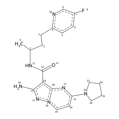 CC(CCc1ccc(F)cn1)NC(=O)c1c(N)nn2ccc(N3CCCC3)nc12